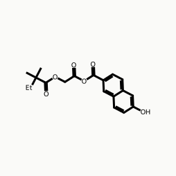 CCC(C)(C)C(=O)OCC(=O)OC(=O)c1ccc2cc(O)ccc2c1